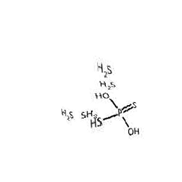 OP(O)(=S)S.S.S.S.S